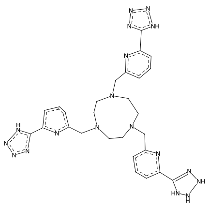 c1cc(CN2CCN(Cc3cccc(-c4nnn[nH]4)n3)CCN(Cc3cccc(-c4nnn[nH]4)n3)CC2)nc(C2=NNNN2)c1